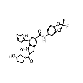 CC(C)N1c2c(cc(C(=O)Nc3ccc(OC(F)(F)Cl)cc3)cc2-c2ccn[nH]2)CC1C(=O)N1CC[C@@H](O)C1